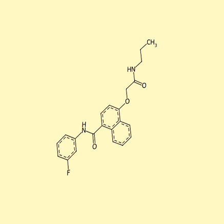 CCCNC(=O)COc1ccc(C(=O)Nc2cccc(F)c2)c2ccccc12